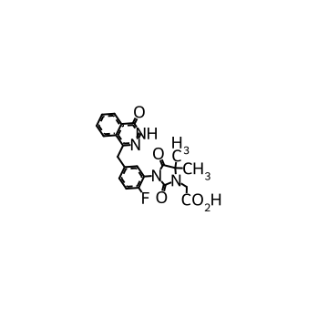 CC1(C)C(=O)N(c2cc(Cc3n[nH]c(=O)c4ccccc34)ccc2F)C(=O)N1CC(=O)O